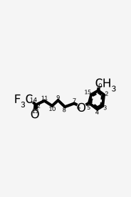 Cc1cccc(OCCCCCC(=O)C(F)(F)F)c1